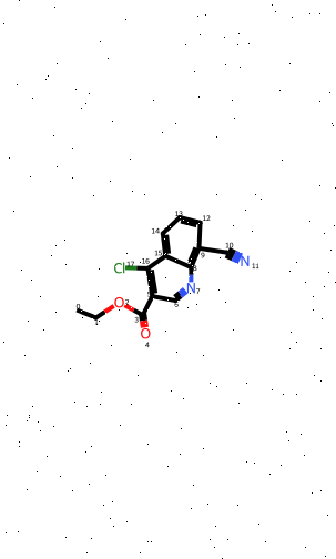 CCOC(=O)c1cnc2c(C#N)cccc2c1Cl